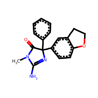 CN1C(=O)C(c2ccccc2)(c2ccc3c(c2)CCO3)N=C1N